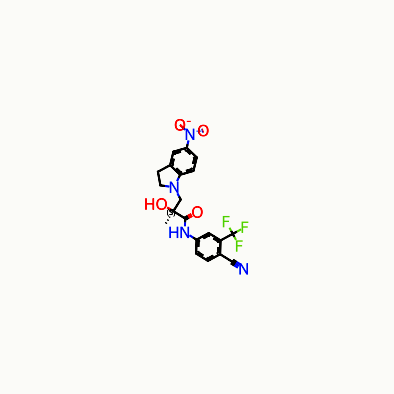 C[C@](O)(CN1CCc2cc([N+](=O)[O-])ccc21)C(=O)Nc1ccc(C#N)c(C(F)(F)F)c1